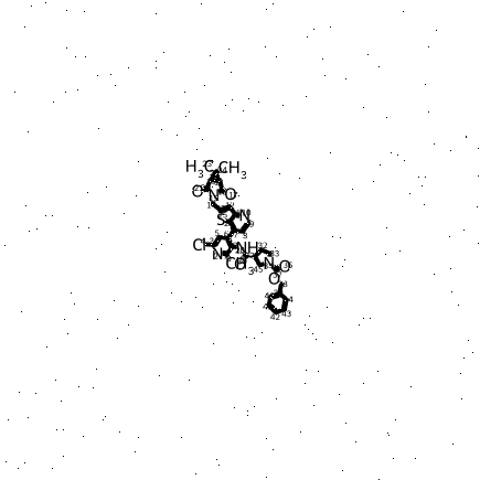 Cc1nc(Cl)cc(-c2ccnc3cc(CN4C(=O)C5C(C4=O)C5(C)C)sc23)c1NC(=O)[C@H]1CCN(C(=O)OCc2ccccc2)C1